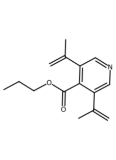 C=C(C)c1cncc(C(=C)C)c1C(=O)OCCC